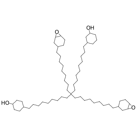 OC1CCC(CCCCCCCCCC(CCCCCCCCCCC2CCCC(O)C2)(CCCCCCCCCC2CCC3OC3C2)CCCCCCCCCC2CCC3OC3C2)CC1